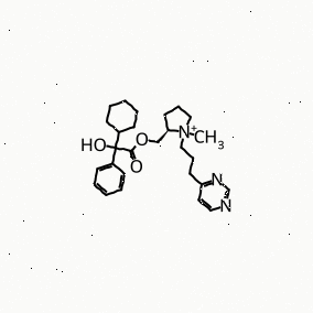 C[N+]1(CCCc2ccncn2)CCC[C@@H]1COC(=O)C(O)(c1ccccc1)C1CCCCC1